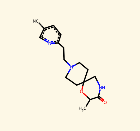 CC1OC2(CCN(CCc3ccc(C#N)cn3)CC2)CNC1=O